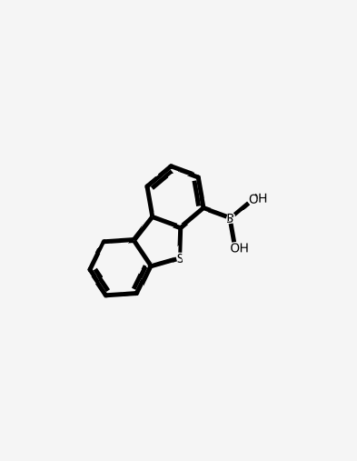 OB(O)C1=CC=CC2C3CC=CC=C3SC12